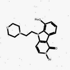 COc1cccc2c3c(=O)n(C(C)C)ccc3n(CCN3CCOCC3)c12